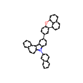 c1ccc2cc(-n3c4ccc(-c5ccc6c(c5)-c5cccc7cccc(c57)O6)cc4c4c5ccccc5ccc43)ccc2c1